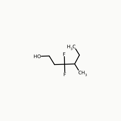 CCC(C)C(F)(F)CCO